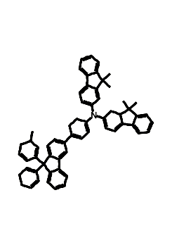 CC1C=C(C2(C3=CCCC=C3)c3ccccc3-c3cc(C4=CC=C(N(C5=CC=C6c7ccccc7C(C)(C)C6C5)c5ccc6c(c5)C(C)(C)c5ccccc5-6)CC4)ccc32)C=CC1